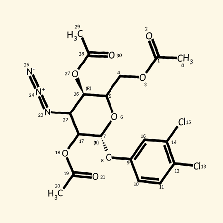 CC(=O)OCC1O[C@H](Oc2ccc(Cl)c(Cl)c2)C(OC(C)=O)C(N=[N+]=[N-])[C@H]1OC(C)=O